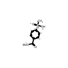 COC(=O)c1ccc([SH](C)(=O)O)cc1